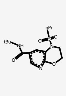 CCCS(=O)(=O)N1CCOc2ncc(C(=O)NC(C)(C)C)cc21